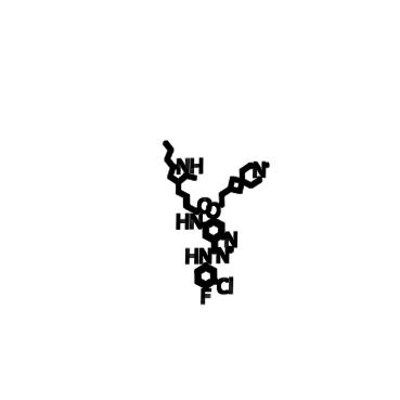 CCCC1CC(C/C=C/C(=O)Nc2cc3c(Nc4ccc(F)c(Cl)c4)ncnc3cc2OCCC2CC3(CCN(C)CC3)C2)C(C)N1